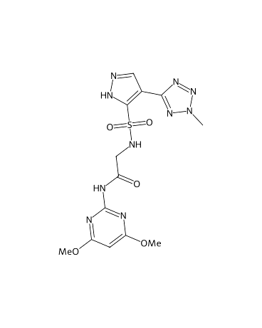 COc1cc(OC)nc(NC(=O)CNS(=O)(=O)c2[nH]ncc2-c2nnn(C)n2)n1